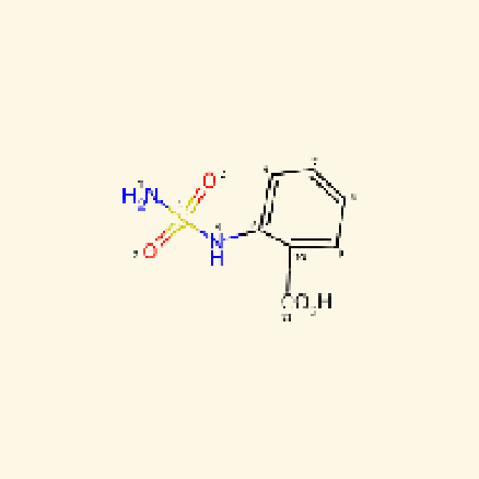 NS(=O)(=O)Nc1ccccc1C(=O)O